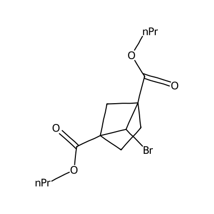 CCCOC(=O)C12CCC(C(=O)OCCC)(C1)C2Br